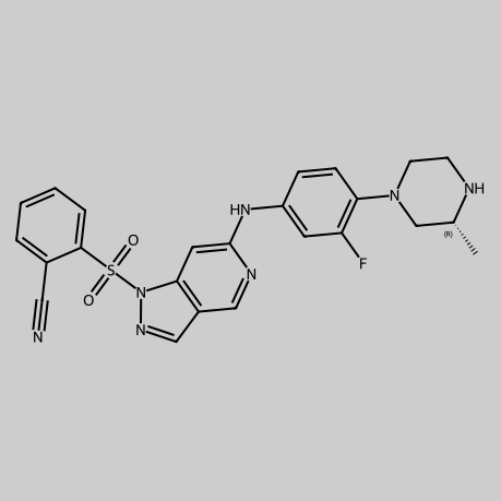 C[C@@H]1CN(c2ccc(Nc3cc4c(cn3)cnn4S(=O)(=O)c3ccccc3C#N)cc2F)CCN1